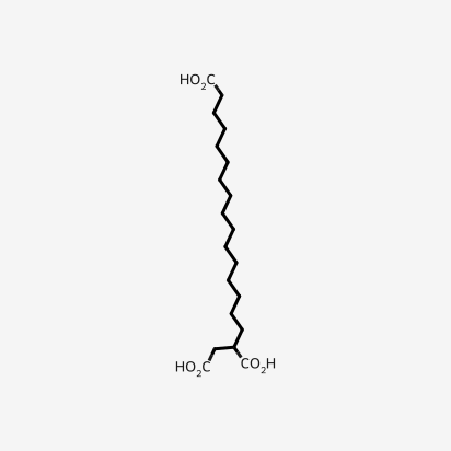 O=C(O)CCCCCCCCCCCCCCCC(CC(=O)O)C(=O)O